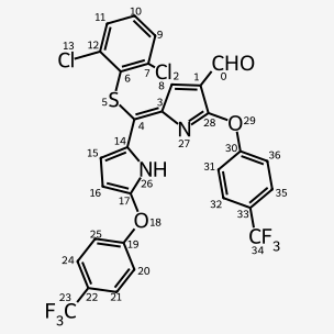 O=CC1=C/C(=C(\Sc2c(Cl)cccc2Cl)c2ccc(Oc3ccc(C(F)(F)F)cc3)[nH]2)N=C1Oc1ccc(C(F)(F)F)cc1